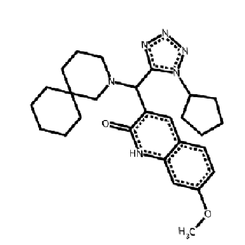 COc1ccc2cc(C(c3nnnn3C3CCCC3)N3CCCC4(CCCCC4)C3)c(=O)[nH]c2c1